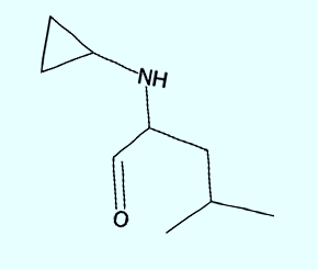 CC(C)CC(C=O)NC1CC1